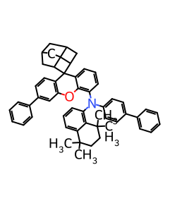 CC1(C)CCC(C)(C)c2c(N(c3ccc(-c4ccccc4)cc3)c3cccc4c3Oc3cc(-c5ccccc5)ccc3C43C4CC5CC6CC3C64C5)cccc21